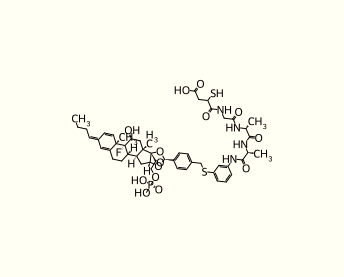 CCC/C=C1\C=C[C@@]2(C)C(=C1)CC[C@H]1[C@@H]3C[C@H]4O[C@H](c5ccc(CSc6cccc(NC(=O)[C@H](C)NC(=O)[C@H](C)NC(=O)CNC(=O)C(S)CC(=O)O)c6)cc5)O[C@@]4(C(=O)COP(=O)(O)O)[C@@]3(C)C[C@H](O)[C@@]12F